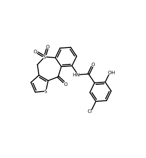 O=C(Nc1cccc2c1C(=O)c1sccc1CS2(=O)=O)c1cc(Cl)ccc1O